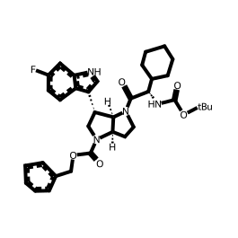 CC(C)(C)OC(=O)N[C@H](C(=O)N1CC[C@@H]2[C@H]1[C@@H](c1c[nH]c3cc(F)ccc13)CN2C(=O)OCc1ccccc1)C1CCCCC1